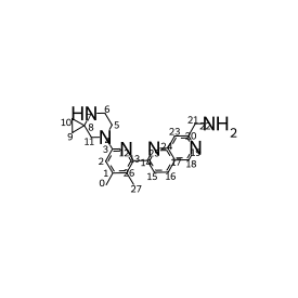 Cc1cc(N2CCNC3(CC3)C2)nc(-c2ccc3cnc(CN)cc3n2)c1C